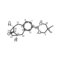 CC1(C)COB(c2ccc3c(c2)C[C@H]2CC[C@@H](C3)C2=O)OC1